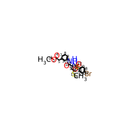 CCOC(=O)Cc1cccc(NC(=O)[C@H](CCSC)NS(=O)(=O)c2ccc(Br)cc2)c1